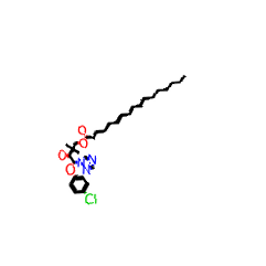 CCCCCCCCCCCCCCCCC(=O)OCC(C)(C)C(=O)C(Oc1ccc(Cl)cc1)n1cncn1